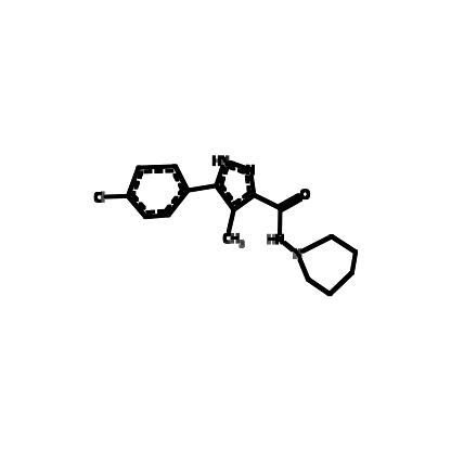 Cc1c(C(=O)NN2CCCCC2)n[nH]c1-c1ccc(Cl)cc1